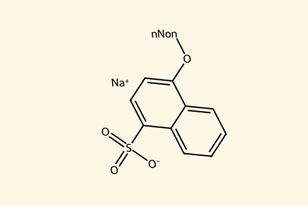 CCCCCCCCCOc1ccc(S(=O)(=O)[O-])c2ccccc12.[Na+]